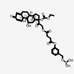 CCOC(=O)O[C@]1(C(=O)COC(=O)CCC(=O)Oc2cccc(CON(O)O)c2)CC[C@H]2[C@@H]3CCC4=CC(=O)C=C[C@]4(C)[C@H]3[C@@H](O)C[C@@]21C